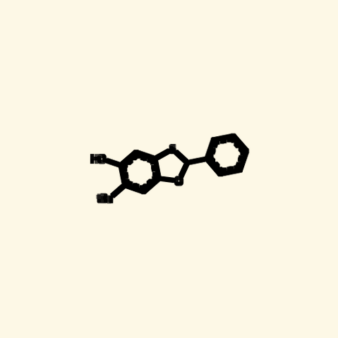 CC(C)(C)c1cc2c(cc1O)SC(c1ccccc1)O2